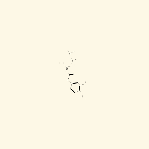 COc1ccc(CC(=O)N=C(N)N[C@H](C)CC(C)C)cc1OC